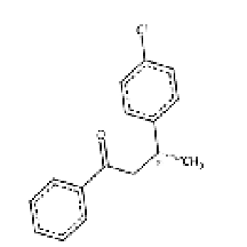 C[C@H](CC(=O)c1ccccc1)c1ccc(Cl)cc1